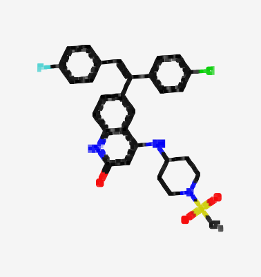 O=c1cc(NC2CCN(S(=O)(=O)C(F)(F)F)CC2)c2cc(/C(=C\c3ccc(F)cc3)c3ccc(Cl)cc3)ccc2[nH]1